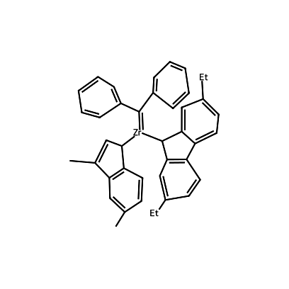 CCc1ccc2c(c1)[CH]([Zr](=[C](c1ccccc1)c1ccccc1)[CH]1C=C(C)c3cc(C)ccc31)c1cc(CC)ccc1-2